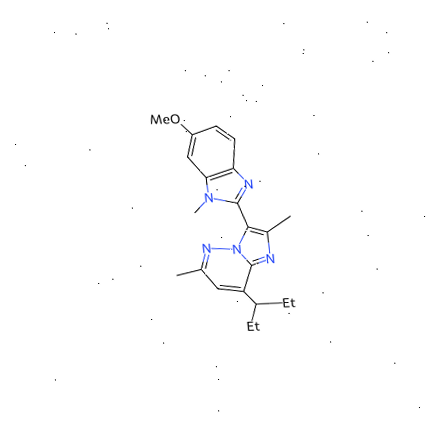 CCC(CC)c1cc(C)nn2c(-c3nc4ccc(OC)cc4n3C)c(C)nc12